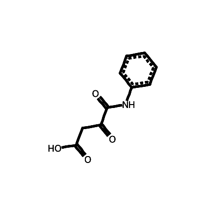 O=C(O)CC(=O)C(=O)Nc1ccccc1